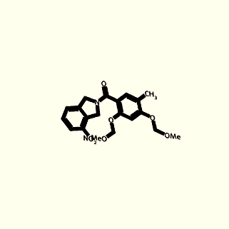 COCOc1cc(OCOC)c(C(=O)N2Cc3cccc([N+](=O)[O-])c3C2)cc1C